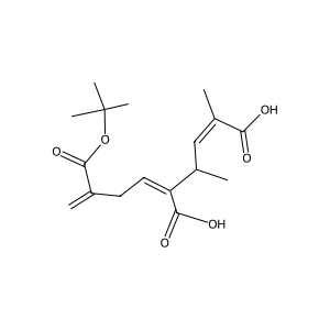 C=C(CC=C(C(=O)O)C(C)C=C(C)C(=O)O)C(=O)OC(C)(C)C